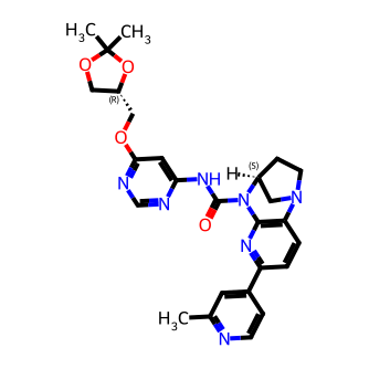 Cc1cc(-c2ccc3c(n2)N(C(=O)Nc2cc(OC[C@@H]4COC(C)(C)O4)ncn2)[C@H]2CCN3C2)ccn1